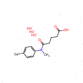 CN(C(=O)CCCC(=O)O)c1cc[c]([Ge+3])cc1.[OH-].[OH-].[OH-]